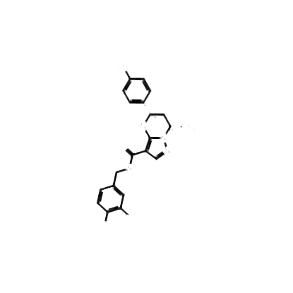 CCc1ccc([C@@H]2C[C@H](C(F)(F)F)n3ncc(C(=O)NCc4ccc(F)c(F)c4)c3N2)cc1